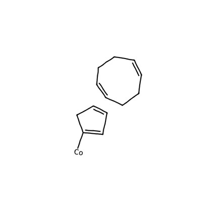 C1=C\CC/C=C\CC/1.[Co][C]1=CC=CC1